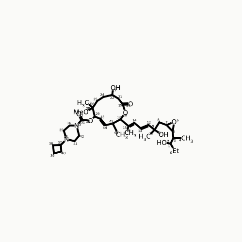 CCC(O)C(C)C1OC1CC(C)(O)/C=C/C=C(\C)C1OC(=O)CC(O)CCC(C)(OC)C(OC(=O)N2CCN(C3CCC3)CC2)/C=C/C1C